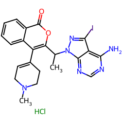 CC(c1oc(=O)c2ccccc2c1C1=CCN(C)CC1)n1nc(I)c2c(N)ncnc21.Cl